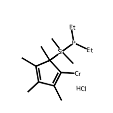 CCP(CC)[Si](C)(C)C1(C)C(C)=C(C)C(C)=[C]1[Cr].Cl